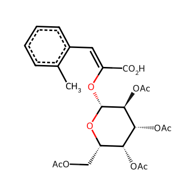 CC(=O)OC[C@@H]1O[C@H](O/C(=C\c2ccccc2C)C(=O)O)[C@@H](OC(C)=O)[C@H](OC(C)=O)[C@@H]1OC(C)=O